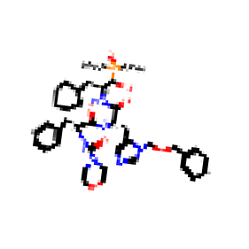 COP(=O)(OC)C(O)[C@H](CC1CCCCC1)NC(=O)[C@H](Cc1cncn1COCc1ccccc1)NC(=O)[C@H](Cc1ccccc1)NC(=O)N1CCOCC1